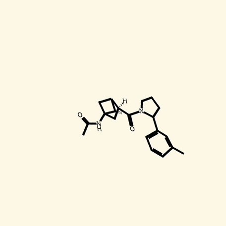 CC(=O)NC12CC(C1)[C@@H](C(=O)N1CCCC1c1cccc(C)c1)C2